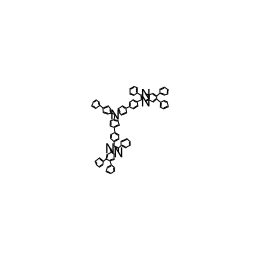 c1ccc(-c2ccc(N(c3ccc(-c4ccc(-c5nc6cc(-c7ccccc7)c(-c7ccccc7)cc6nc5-c5ccccc5)cc4)cc3)c3ccc(-c4ccc(-c5nc6cc(-c7ccccc7)c(-c7ccccc7)cc6nc5-c5ccccc5)cc4)cc3)cc2)cc1